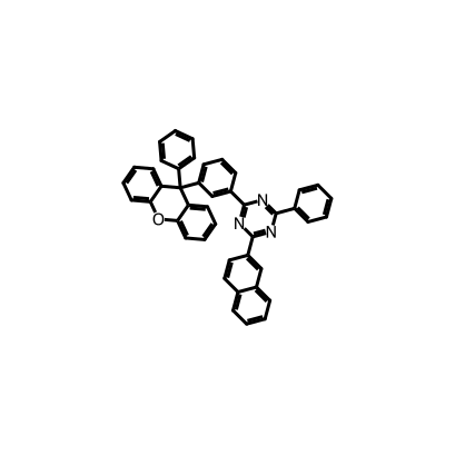 c1ccc(-c2nc(-c3cccc(C4(c5ccccc5)c5ccccc5Oc5ccccc54)c3)nc(-c3ccc4ccccc4c3)n2)cc1